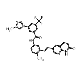 Cc1cn(-c2cc(C(=O)Nc3ccc(C)c(/C=C/c4cnc5[nH]c(=O)ccc5c4)c3)cc(C(F)(F)F)c2)cn1